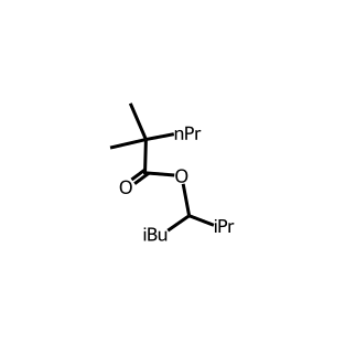 CCCC(C)(C)C(=O)OC(C(C)C)C(C)CC